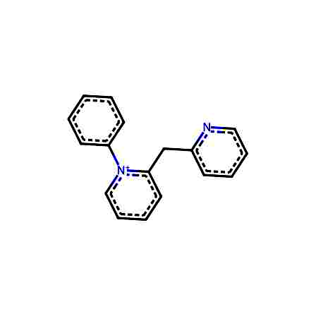 c1ccc(-[n+]2ccccc2Cc2ccccn2)cc1